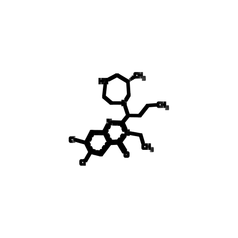 CCCC(c1nc2cc(Cl)c(Cl)cc2c(=O)n1CC)N1CCNC[C@H](C)C1